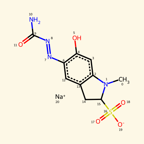 CN1c2cc(O)c(N=NC(N)=O)cc2CC1S(=O)(=O)[O-].[Na+]